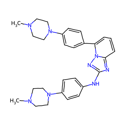 CN1CCN(c2ccc(Nc3nc4cccc(-c5ccc(N6CCN(C)CC6)cc5)n4n3)cc2)CC1